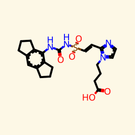 O=C(O)CCCn1ccnc1/C=C/S(=O)(=O)NC(=O)Nc1c2c(cc3c1CCC3)CCC2